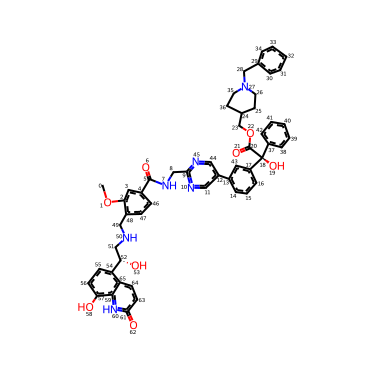 COc1cc(C(=O)NCc2ncc(-c3cccc([C@](O)(C(=O)OCC4CCN(Cc5ccccc5)CC4)c4ccccc4)c3)cn2)ccc1CNC[C@H](O)c1ccc(O)c2[nH]c(=O)ccc12